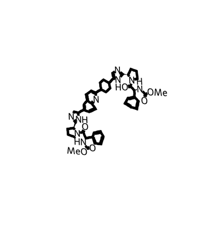 COC(=O)N[C@@H](C(=O)N1CCC[C@H]1C1=NCC(c2ccc3nc(C4CCC(c5cnc([C@@H]6CCCN6C(=O)[C@H](NC(=O)OC)c6ccccc6)[nH]5)CC4)ccc3c2)N1)c1ccccc1